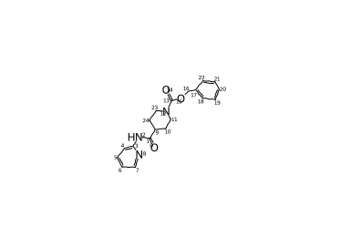 O=C(Nc1ccccn1)C1CCN(C(=O)OCc2ccccc2)CC1